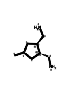 CN1C[C@@H](CN)[C@H](CN)C1